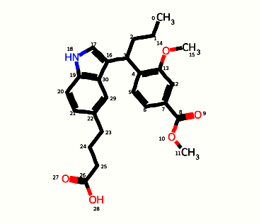 CCCC(c1ccc(C(=O)OC)cc1OC)c1c[nH]c2ccc(CCCC(=O)O)cc12